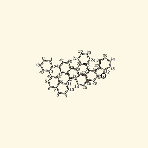 c1ccc(-c2ccc3cccc(-c4c5ccccc5c(-c5ccccc5-c5cccc6oc7ccccc7c56)c5ccccc45)c3c2)cc1